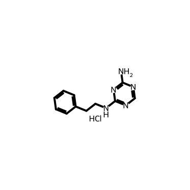 Cl.Nc1ncnc(NCCc2ccccc2)n1